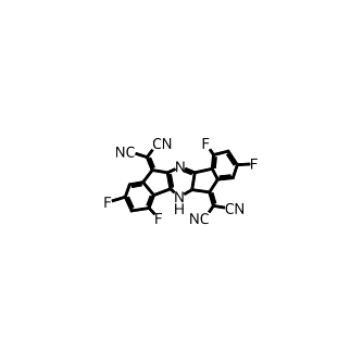 N#CC(C#N)=C1C2=C(NC3C(=N2)c2c(F)cc(F)cc2C3=C(C#N)C#N)c2c(F)cc(F)cc21